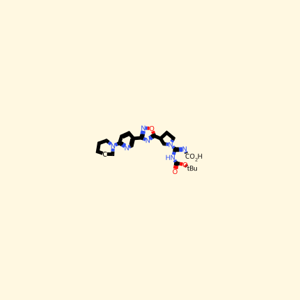 CC(C)(C)OC(=O)NC(=NC(=O)O)N1CCC(c2nc(-c3ccc(N4CCCCC4)nc3)no2)C1